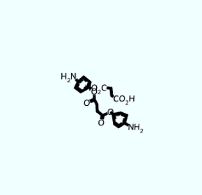 Nc1ccc(OC(=O)CCC(=O)Oc2ccc(N)cc2)cc1.O=C(O)CCC(=O)O